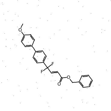 COc1ccc(-c2ccc(C(F)(F)/C=C/C(=O)OCc3ccccc3)cc2)cc1